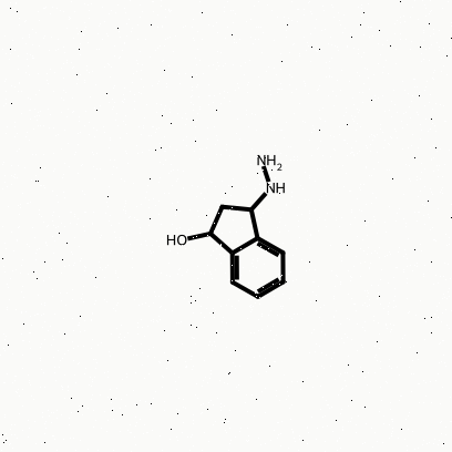 NNC1CC(O)c2ccccc21